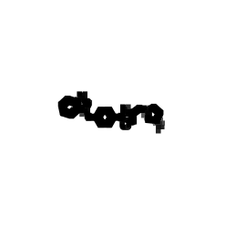 F[C@@H]1CCN(Cc2coc(-c3ccc(Cn4cnc5ccccc54)cc3)n2)C1